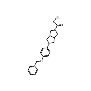 CC(C)(C)OC(=O)N1CC2CN(c3ccc(OCc4ccccc4)cc3)CC2C1